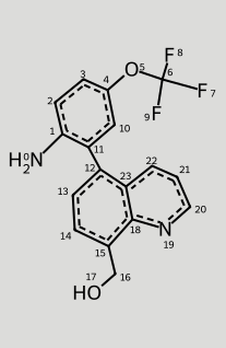 Nc1ccc(OC(F)(F)F)cc1-c1ccc(CO)c2ncccc12